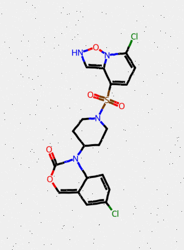 O=C1OC=C2C=C(Cl)C=CC2N1C1CCN(S(=O)(=O)C2=CC=C(Cl)N3ONC=C23)CC1